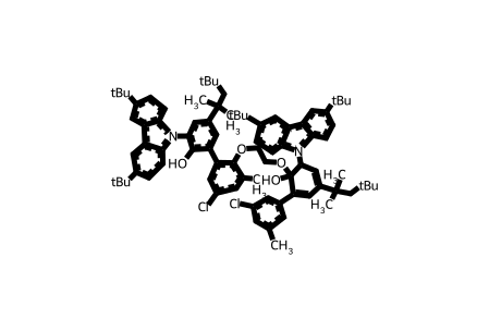 Cc1cc(Cl)cc(C2=CC(C(C)(C)CC(C)(C)C)=CC(n3c4ccc(C(C)(C)C)cc4c4cc(C(C)(C)C)ccc43)C2(O)OCCOc2c(C)cc(Cl)cc2-c2cc(C(C)(C)CC(C)(C)C)cc(-n3c4ccc(C(C)(C)C)cc4c4cc(C(C)(C)C)ccc43)c2O)c1